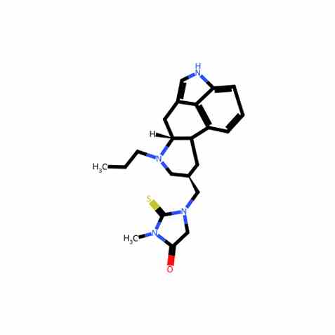 CCCN1C[C@H](CN2CC(=O)N(C)C2=S)CC2c3cccc4[nH]cc(c34)C[C@H]21